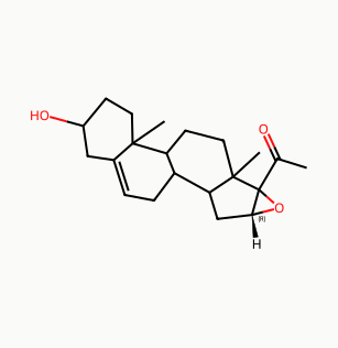 CC(=O)C12O[C@@H]1CC1C3CC=C4CC(O)CCC4(C)C3CCC12C